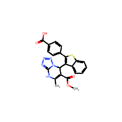 COC(=O)C1=C(C)Nc2nnnn2C1c1c(-c2ccc(C(=O)O)cc2)sc2ccccc12